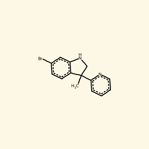 CC1(c2ccccn2)CNc2cc(Br)ccc21